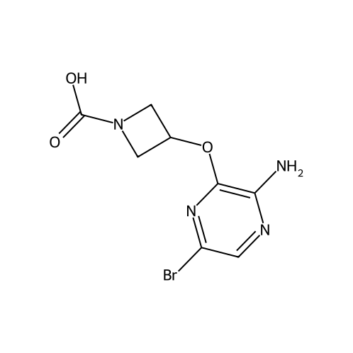 Nc1ncc(Br)nc1OC1CN(C(=O)O)C1